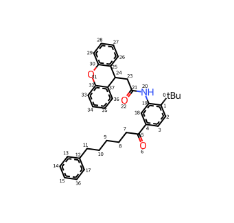 CC(C)(C)c1ccc(C(=O)CCCCCc2ccccc2)cc1NC(=O)CC1c2ccccc2Oc2ccccc21